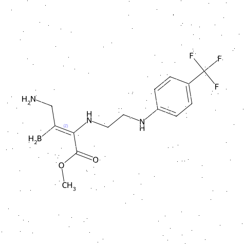 B/C(CN)=C(/NCCNc1ccc(C(F)(F)F)cc1)C(=O)OC